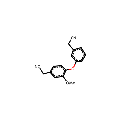 COc1cc(CC#N)ccc1Oc1cccc(CC#N)c1